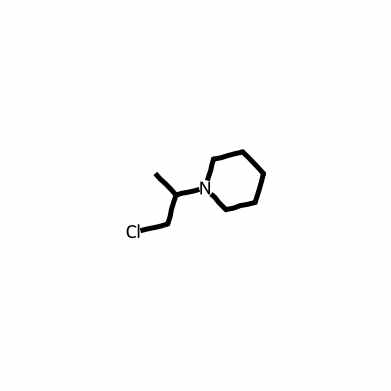 CC(CCl)N1CCCCC1